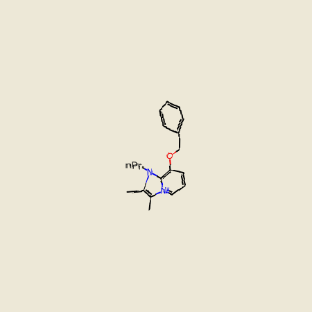 CCCn1c(C)c(C)[n+]2cccc(OCc3ccccc3)c12